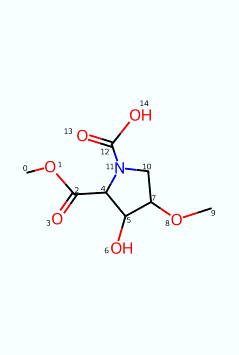 COC(=O)C1C(O)C(OC)CN1C(=O)O